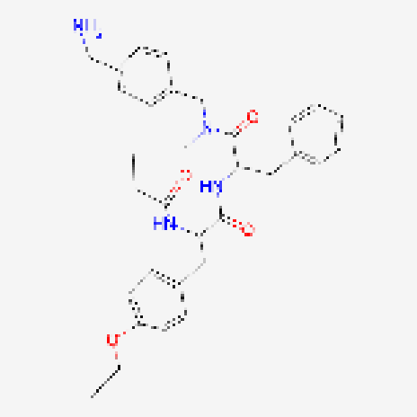 CCOc1ccc(CC(NC(=O)CC)C(=O)NC(Cc2ccccc2)C(=O)N(C)Cc2ccc(CN)cc2)cc1